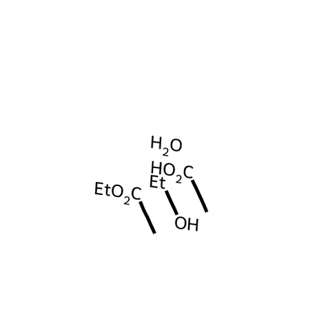 CC(=O)O.CCO.CCOC(C)=O.O